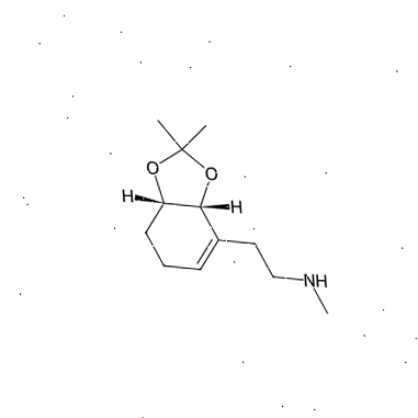 CNCCC1=CCC[C@@H]2OC(C)(C)O[C@H]12